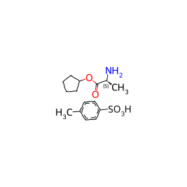 C[C@H](N)C(=O)OC1CCCC1.Cc1ccc(S(=O)(=O)O)cc1